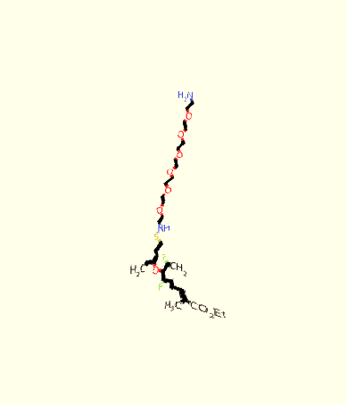 C=C/C(=C\C=C\SNCCOCCOCCOCCOCCOCCOCCN)O/C(C(=C)F)=C(F)/C=C/C=C(\C)C(=O)OCC